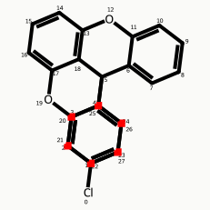 Clc1ccc(C23c4ccccc4Oc4cccc(c42)Oc2ccccc23)cc1